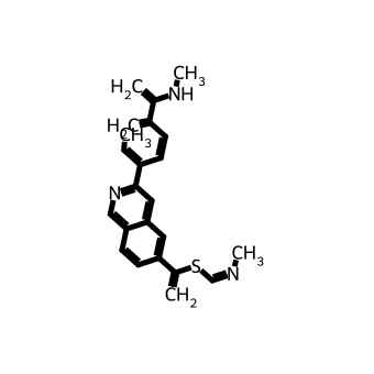 C=C(/C=C\C(=C/C)c1cc2cc(C(=C)S/C=N\C)ccc2cn1)C(=C)NC